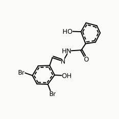 O=C(N/N=C/c1cc(Br)cc(Br)c1O)c1ccccc1O